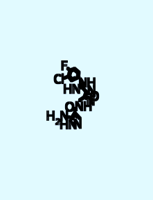 N=C(Nc1ccc(F)c(Cl)c1)c1nonc1CNC(=O)c1cn[nH]c1N